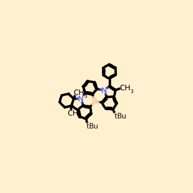 Cc1c(-c2ccccc2)n2c3c(cc(C(C)(C)C)cc13)B1c3cc(C(C)(C)C)cc4c3N(c3cccc-2c31)C1(C)CCCCC41C